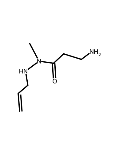 C=CCNN(C)C(=O)CCN